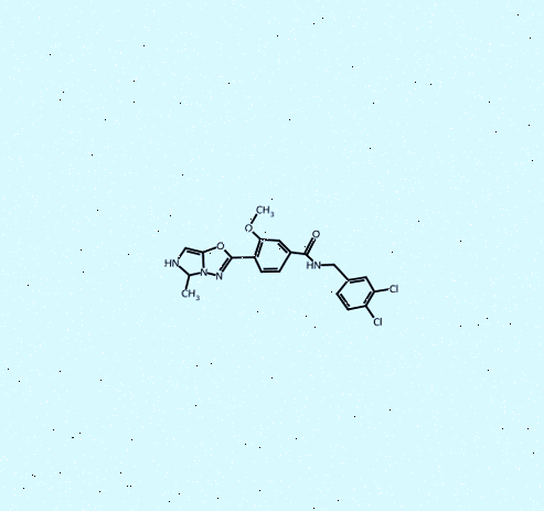 COc1cc(C(=O)NCc2ccc(Cl)c(Cl)c2)ccc1C1=NN2C(=CNC2C)O1